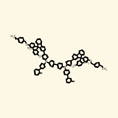 C=Cc1ccc(COc2ccc(C3(c4cc(C)ccc4C)c4ccccc4-c4ccc(-c5ccc(N(c6ccc(-c7ccc(N(c8ccc(-c9ccc%10c(c9)C(c9ccc(OCc%11ccc(C=C)cc%11)cc9)(c9cc(C)ccc9C)c9ccccc9-%10)cc8)c8ccc(-c9ccccc9F)cc8)cc7)cc6)c6ccc(-c7cccc(F)c7)cc6)cc5)cc43)cc2)cc1